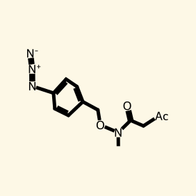 CC(=O)CC(=O)N(C)OCc1ccc(N=[N+]=[N-])cc1